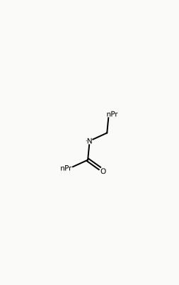 CCCC[N]C(=O)CCC